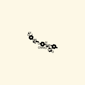 CCCc1ccc(C)cc1N1C(=O)CSC1=NC(=O)Nc1ccc(OCc2ncn(-c3ccc(OC(F)(F)F)cc3)n2)cc1OC